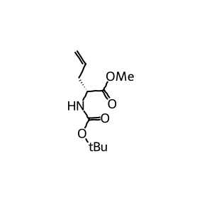 C=CC[C@@H](NC(=O)OC(C)(C)C)C(=O)OC